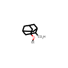 CCOC12CC3CC(CC(C3)C1C(=O)O)C2